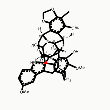 COc1ccc2[nH]c3c(c2c1)C[C@H](CN)N[C@]31CS[C@@H]2c3c(OC(C)=O)c(C)c4c(c3[C@H](COC1=O)N1C(C#N)[C@@H]3Cc5cc(C)c(OC)c(O)c5[C@@H]([C@H]21)N3C)OCO4